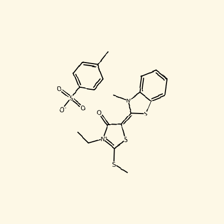 CC[N+]1=C(SC)S/C(=C2\Sc3ccccc3N2C)C1=O.Cc1ccc(S(=O)(=O)[O-])cc1